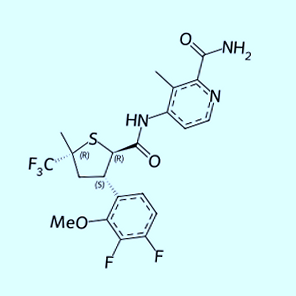 COc1c([C@@H]2C[C@](C)(C(F)(F)F)S[C@H]2C(=O)Nc2ccnc(C(N)=O)c2C)ccc(F)c1F